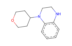 c1ccc2c(c1)NCCN2C1CCOCC1